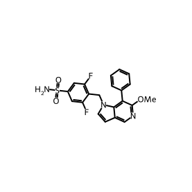 COc1ncc2ccn(Cc3c(F)cc(S(N)(=O)=O)cc3F)c2c1-c1ccccc1